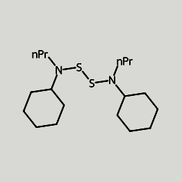 CCCN(SSN(CCC)C1CCCCC1)C1CCCCC1